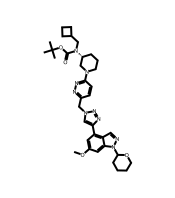 COc1cc(-c2cn(Cc3ccc(N4CCC[C@@H](N(CC5CCC5)C(=O)OC(C)(C)C)C4)nn3)nn2)c2cnn(C3CCCCO3)c2c1